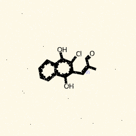 C/C(C=O)=C/c1c(Cl)c(O)c2ccccc2c1O